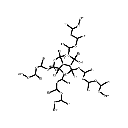 CCCOC(CC)OC(CC)OC(CC)OC(O)(CC)N(N(C(O)(CC)OC(CC)OC(CC)OC(CC)OCCC)C(O)(CC)OC(CC)OC(CC)OC(CC)OCCC)C(O)(CC)OC(CC)OC(CC)OC(CC)OCCC